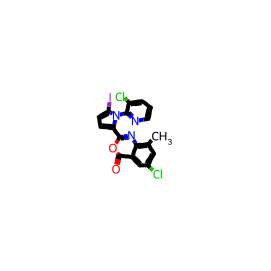 Cc1cc(Cl)cc2c(=O)oc(-c3ccc(I)n3-c3ncccc3Cl)nc12